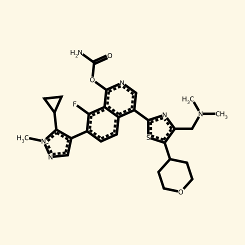 CN(C)Cc1nc(-c2cnc(OC(N)=O)c3c(F)c(-c4cnn(C)c4C4CC4)ccc23)sc1C1CCOCC1